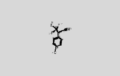 N#CC(c1ccc(Cl)cc1)C(F)(F)F